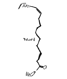 CCCCCCCC/C=C\CCCCCCCC(=O)OC.[NaH]